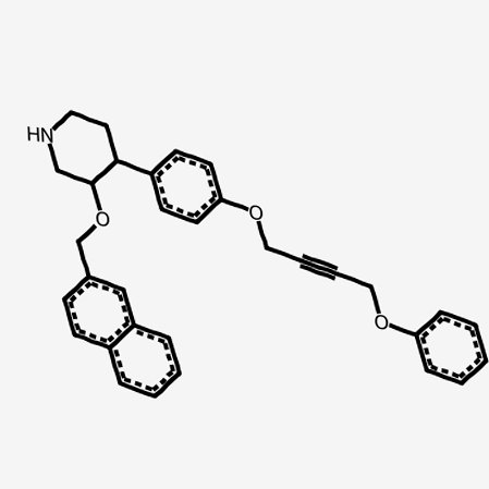 C(#CCOc1ccc(C2CCNCC2OCc2ccc3ccccc3c2)cc1)COc1ccccc1